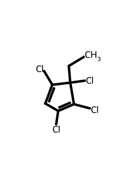 CCC1(Cl)C(Cl)=CC(Cl)=C1Cl